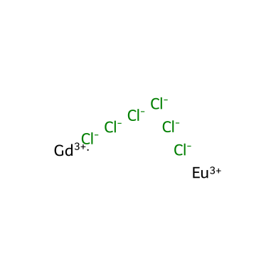 [Cl-].[Cl-].[Cl-].[Cl-].[Cl-].[Cl-].[Eu+3].[Gd+3]